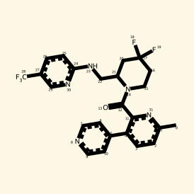 Cc1ccc(-c2ccncc2)c(C(=O)N2CCC(F)(F)CC2CNc2ccc(C(F)(F)F)cn2)n1